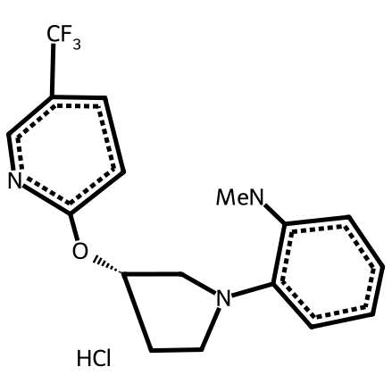 CNc1ccccc1N1CC[C@H](Oc2ccc(C(F)(F)F)cn2)C1.Cl